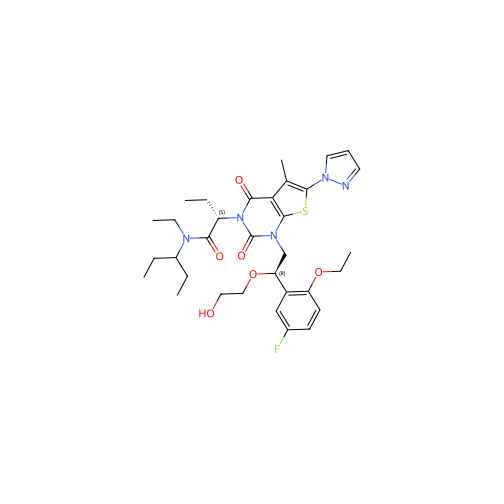 CCOc1ccc(F)cc1[C@H](Cn1c(=O)n([C@@H](CC)C(=O)N(CC)C(CC)CC)c(=O)c2c(C)c(-n3cccn3)sc21)OCCO